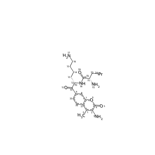 Cc1c(N)c(=O)oc2cc(C(=O)[C@H](CCCCN)NC(=O)[C@@H](N)CC(C)C)ccc12